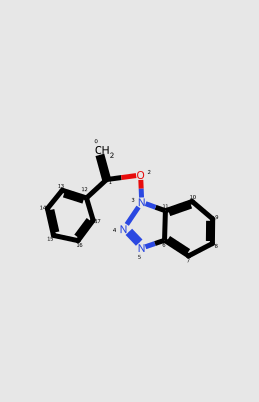 C=C(On1nnc2ccccc21)c1ccccc1